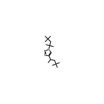 CC(CC(C)(C)C)c1cn(C(C)(C)CC(C)(C)C)nn1